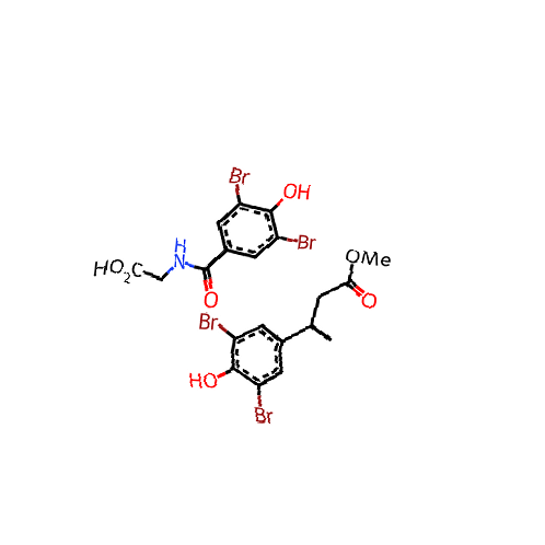 COC(=O)CC(C)c1cc(Br)c(O)c(Br)c1.O=C(O)CNC(=O)c1cc(Br)c(O)c(Br)c1